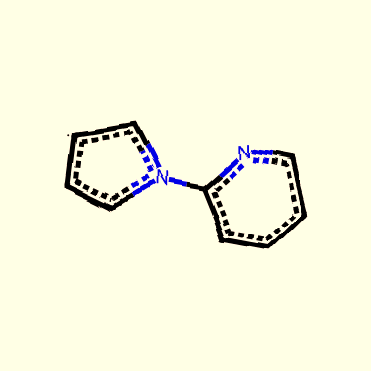 [c]1ccn(-c2ccccn2)c1